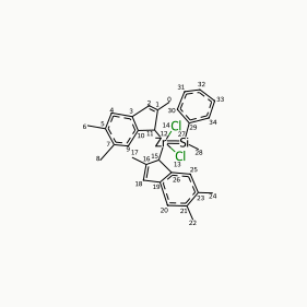 CC1=Cc2cc(C)c(C)cc2[CH]1[Zr]([Cl])([Cl])([CH]1C(C)=Cc2cc(C)c(C)cc21)=[Si](C)c1ccccc1